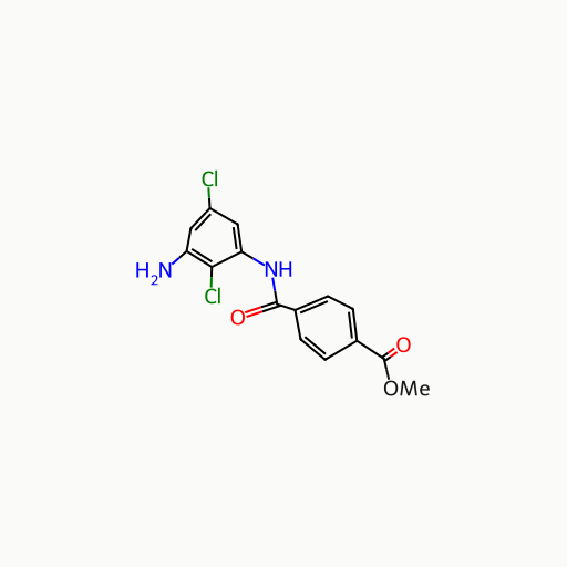 COC(=O)c1ccc(C(=O)Nc2cc(Cl)cc(N)c2Cl)cc1